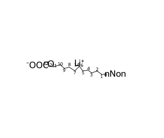 CCCCCCCCCCCCCCCCCCCCOC(=O)[O-].[Li+]